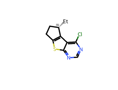 CC[C@H]1CCc2sc3ncnc(Cl)c3c21